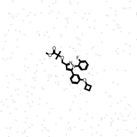 COC(=O)C(C)(C)OCc1cc(-c2cccc(OC3CCC3)c2)n(-c2ccccc2F)n1